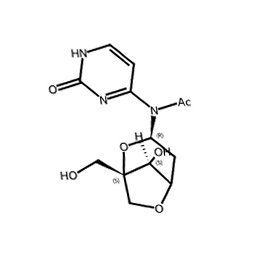 CC(=O)N(c1cc[nH]c(=O)n1)[C@H]1CC2OC[C@](CO)(O1)[C@H]2O